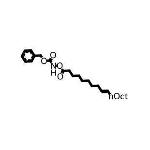 CCCCCCCCC=CCCCCCCCC(=O)ONC(=O)OCc1ccccc1